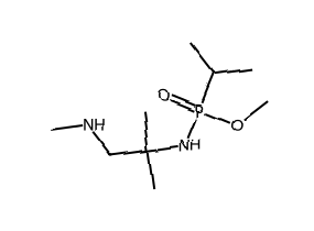 CNCC(C)(C)NP(=O)(OC)C(C)C